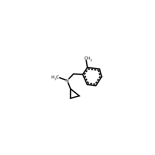 Cc1c[c]ccc1CN(C)C1CC1